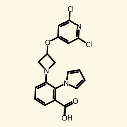 O=C(O)c1cccc(N2CC(Oc3cc(Cl)nc(Cl)c3)C2)c1-n1cccc1